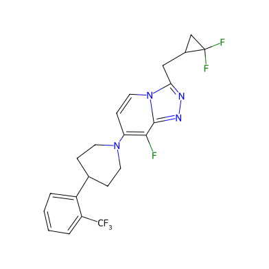 Fc1c(N2CCC(c3ccccc3C(F)(F)F)CC2)ccn2c(CC3CC3(F)F)nnc12